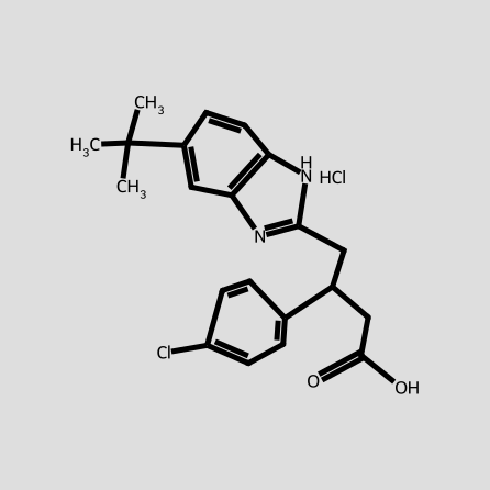 CC(C)(C)c1ccc2[nH]c(CC(CC(=O)O)c3ccc(Cl)cc3)nc2c1.Cl